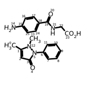 Cc1cc(=O)n(-c2ccccc2)n1C.Nc1ccc(C(=O)NCC(=O)O)cc1